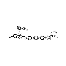 CCC(C)N1CN(c2ccc(N3CCN(c4ccc(OCC5COC(CSc6nncn6C)(c6ccc(Cl)cc6)O5)cc4)CC3)cc2)C=N1